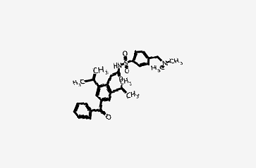 CC(C)c1cc(C(=O)c2ccccc2)cc(C(C)C)c1CC(=O)NS(=O)(=O)c1ccc(CN(C)C)cc1